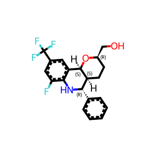 OC[C@H]1CC[C@@H]2[C@H](O1)c1cc(C(F)(F)F)cc(F)c1N[C@H]2c1ccccc1